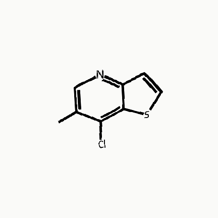 Cc1cnc2ccsc2c1Cl